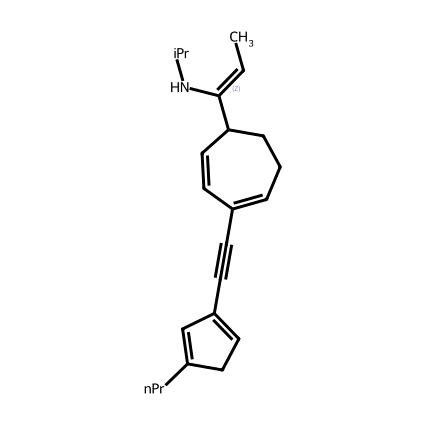 C/C=C(\NC(C)C)C1C=CC(C#CC2=CCC(CCC)=C2)=CCC1